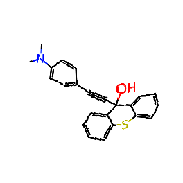 CN(C)c1ccc(C#CC2(O)c3ccccc3Sc3ccccc32)cc1